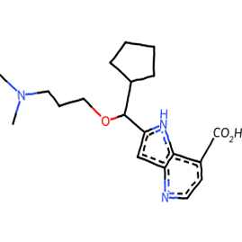 CN(C)CCCOC(c1cc2nccc(C(=O)O)c2[nH]1)C1CCCC1